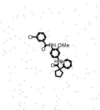 COc1cc(NC(=O)C2(c3ccccn3)CCCC2)ccc1NC(=O)c1cccc(Cl)c1